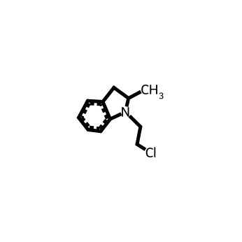 CC1Cc2ccccc2N1CCCl